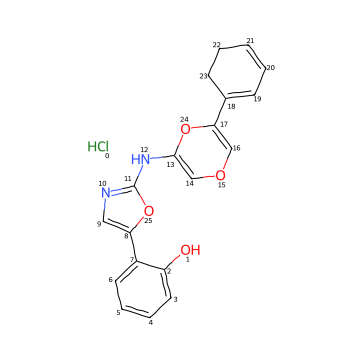 Cl.Oc1ccccc1-c1cnc(NC2=COC=C(C3=CC=CCC3)O2)o1